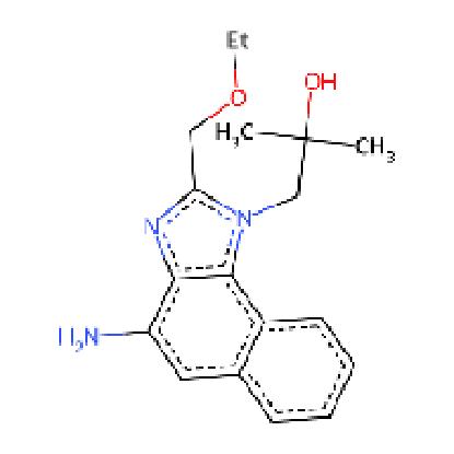 CCOCc1nc2c(N)cc3ccccc3c2n1CC(C)(C)O